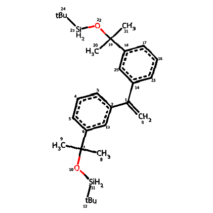 C=C(c1cccc(C(C)(C)O[SiH2]C(C)(C)C)c1)c1cccc(C(C)(C)O[SiH2]C(C)(C)C)c1